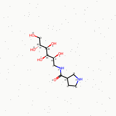 O=C(NC[C@H](O)[C@@H](O)[C@H](O)[C@H](O)CO)C1CCNC1